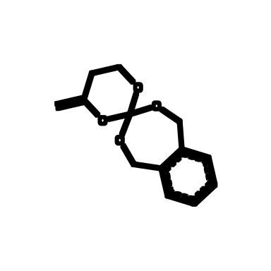 C=C1CCOC2(OCc3ccccc3CO2)O1